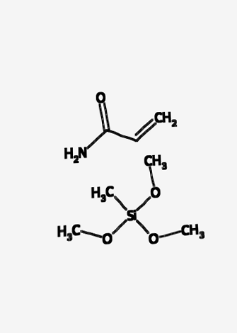 C=CC(N)=O.CO[Si](C)(OC)OC